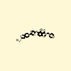 C[C@H]1CC2(CCN(c3cnc(Sc4ccc5ncn(CN6CCOCC6)c(=O)c5c4Cl)cn3)CC2)CO1